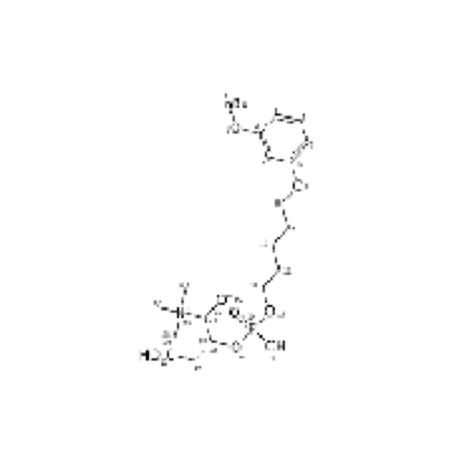 CCCCOc1cccc(OCCCCCOP(=O)(O)O[C@H](CC(=O)O)C([O-])[N+](C)(C)C)c1